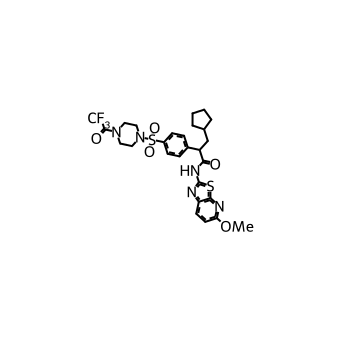 COc1ccc2nc(NC(=O)C(CC3CCCC3)c3ccc(S(=O)(=O)N4CCN(C(=O)C(F)(F)F)CC4)cc3)sc2n1